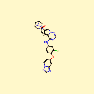 C=CC(=O)N1C2CC1CN(c1cc3c(Nc4ccc(Oc5ccn6ncnc6c5)c(Cl)c4)ncnn3c1)C2